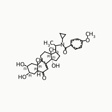 COc1ccc(C(=O)N(C2CC2)C(C)C2CC[C@@]3(O)C4=CC(=O)[C@@H]5C[C@@H](O)[C@@H](O)C[C@]5(C)C4CC[C@]23C)cc1